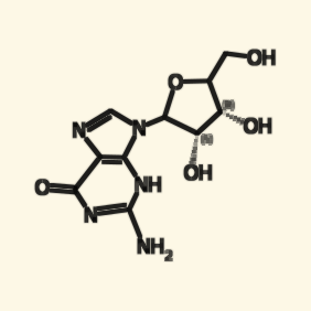 Nc1nc(=O)c2ncn(C3OC(CO)[C@H](O)[C@@H]3O)c2[nH]1